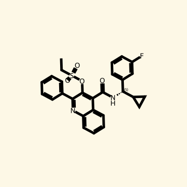 CCS(=O)(=O)Oc1c(-c2ccccc2)nc2ccccc2c1C(=O)N[C@H](c1cccc(F)c1)C1CC1